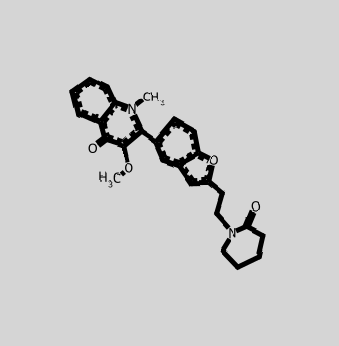 COc1c(-c2ccc3oc(CCN4CCCCC4=O)cc3c2)n(C)c2ccccc2c1=O